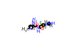 Cc1ccc2c(N)c(C(=O)N[C@H]3COc4c(F)c(N5C[C@H]6C[C@@H]5CN6)cc(F)c4C3)sc2n1